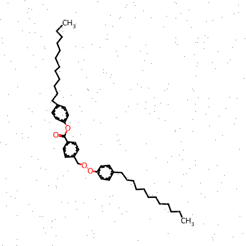 CCCCCCCCCCCCc1ccc(OOCc2ccc(C(=O)Oc3ccc(CCCCCCCCCCCC)cc3)cc2)cc1